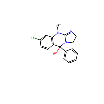 CCCN1C2=NCCN2C(O)(c2ccccc2)c2ccc(Cl)cc21